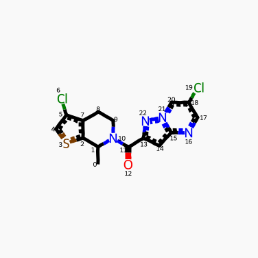 CC1c2scc(Cl)c2CCN1C(=O)c1cc2ncc(Cl)cn2n1